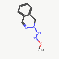 O=CONNN1Cc2ccccc2C=N1